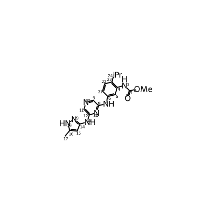 COC(=O)Nc1cc(Nc2cncc(Nc3cc(C)[nH]n3)n2)ccc1C(C)C